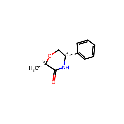 C[C@@H]1OC[C@H](c2ccccc2)NC1=O